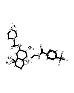 C[C@H]1[C@H](NC(=O)N2CCN(C)CC2)CC2C(C)(C)CCC[C@]2(C)[C@H]1CCNC(=O)c1ccc(C(F)(F)F)cc1